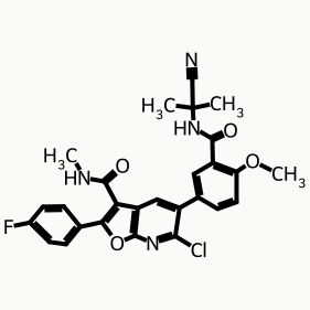 CNC(=O)c1c(-c2ccc(F)cc2)oc2nc(Cl)c(-c3ccc(OC)c(C(=O)NC(C)(C)C#N)c3)cc12